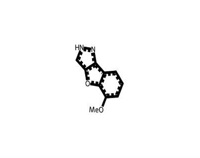 COc1cccc2c1oc1c[nH]nc12